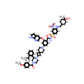 COc1ccc(C(=O)N2CCN(C3CC4(CCN(c5ccc(C(=O)NS(=O)(=O)c6ccc(NCC7CCC(C)(O)CC7)c([N+](=O)[O-])c6)c(Oc6cnc7[nH]ccc7c6)c5)CC4)C3)C(c3ccccc3C(C)C)C2)cc1